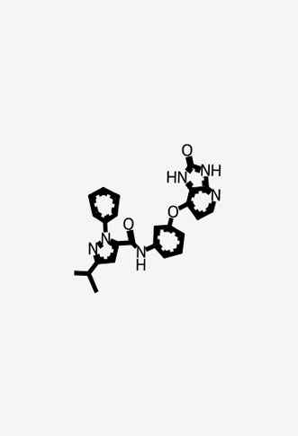 CC(C)c1cc(C(=O)Nc2cccc(Oc3ccnc4[nH]c(=O)[nH]c34)c2)n(-c2ccccc2)n1